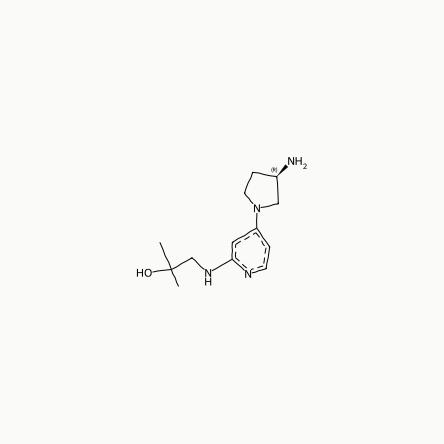 CC(C)(O)CNc1cc(N2CC[C@@H](N)C2)ccn1